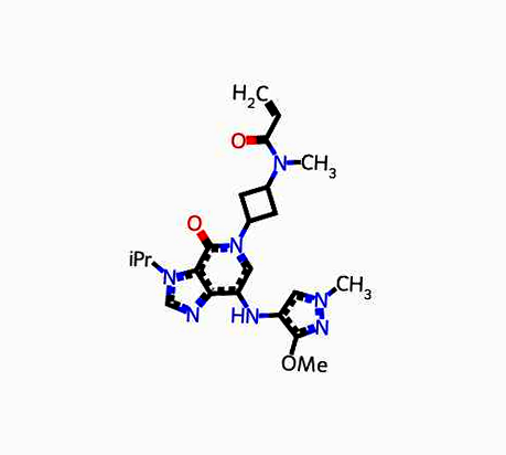 C=CC(=O)N(C)C1CC(n2cc(Nc3cn(C)nc3OC)c3ncn(C(C)C)c3c2=O)C1